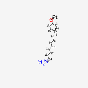 CCOc1ccc(CCCCCCCCCN)cc1